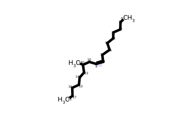 CCCCCCCC/C=C\CC(C)CCCCCC